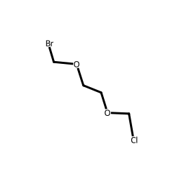 ClCOCCOCBr